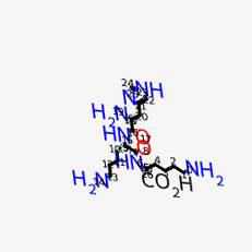 NCCCC[C@H](NC(=O)[C@H](CCCCN)NC(=O)[C@@H](N)Cc1c[nH]cn1)C(=O)O